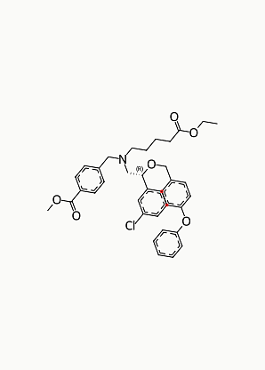 CCOC(=O)CCCCN(Cc1ccc(C(=O)OC)cc1)C[C@H](OCc1ccc(Oc2ccccc2)cc1)c1cccc(Cl)c1